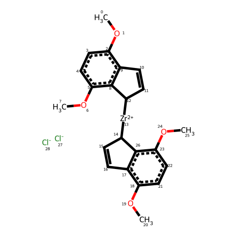 COc1ccc(OC)c2c1C=C[CH]2[Zr+2][CH]1C=Cc2c(OC)ccc(OC)c21.[Cl-].[Cl-]